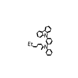 C=C(/C=C\C=C/CC)N(c1ccccc1)c1cccc(-n2c3ccccc3c3ccccc32)c1